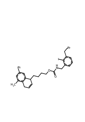 Cc1cc(C(C)C)cc2c1CC=CC2CCCCOC(=O)NCc1cccc(CC(C)C)c1I